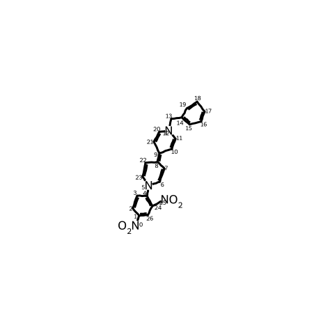 O=[N+]([O-])c1ccc(N2C=CC(=C3C=CN(Cc4ccccc4)C=C3)C=C2)c([N+](=O)[O-])c1